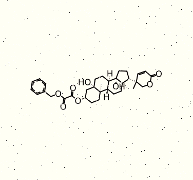 CC1([C@H]2CC[C@]3(O)[C@@H]4CC[C@]5(O)C[C@@H](OC(=O)C(=O)OCc6ccccc6)CC[C@]5(C)[C@H]4CC[C@]23C)C=CC(=O)OC1